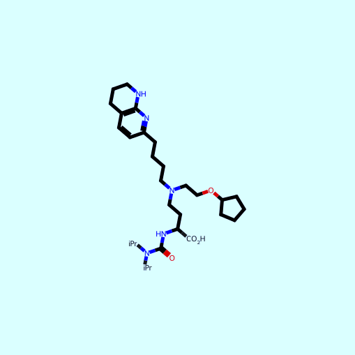 CC(C)N(C(=O)NC(CCN(CCCCc1ccc2c(n1)NCCC2)CCOC1CCCC1)C(=O)O)C(C)C